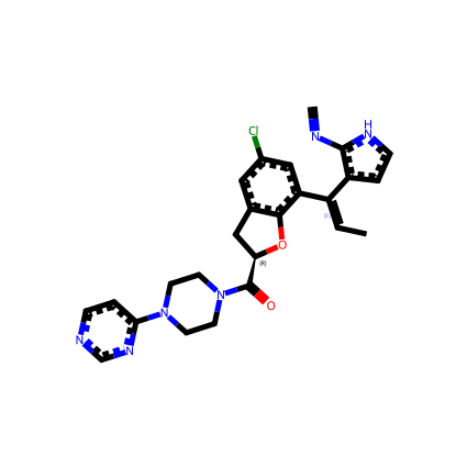 C=Nc1[nH]ccc1/C(=C\C)c1cc(Cl)cc2c1O[C@@H](C(=O)N1CCN(c3ccncn3)CC1)C2